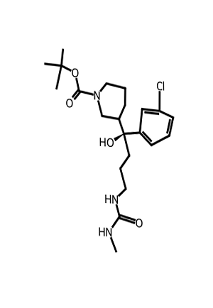 CNC(=O)NCCC[C@@](O)(c1cccc(Cl)c1)C1CCCN(C(=O)OC(C)(C)C)C1